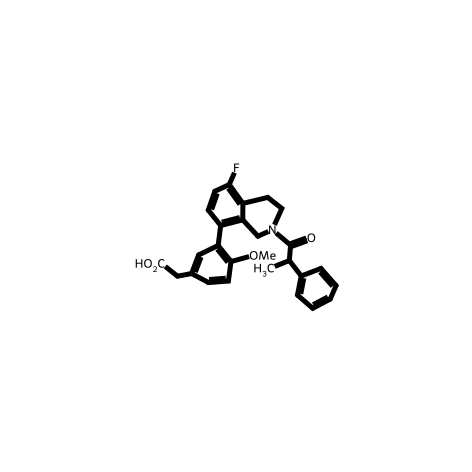 COc1ccc(CC(=O)O)cc1-c1ccc(F)c2c1CN(C(=O)C(C)c1ccccc1)CC2